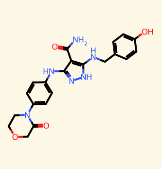 NC(=O)c1c(Nc2ccc(N3CCOCC3=O)cc2)n[nH]c1NCc1ccc(O)cc1